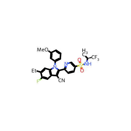 CCc1cc2c(cc1F)c(C#N)c(-c1ccc(S(=O)(=O)N[C@@H](C)C(F)(F)F)cn1)n2-c1cccc(OC)c1